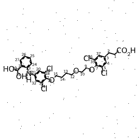 O=C(O)CCc1cc(Cl)c(OCCOCCCCOc2c(Cl)cc(Nc3ccccc3C(O)O)cc2Cl)c(Cl)c1